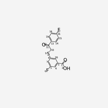 O=C(O)c1cc(F)cc(SCC(=O)c2ccc(F)cc2)c1